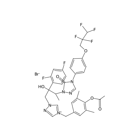 CC(=O)Oc1c(C)cc(C[n+]2cnn(CC(O)(c3ccc(F)cc3F)C(C)n3ncn(-c4ccc(OCC(F)(F)C(F)F)cc4)c3=O)c2)cc1C.[Br-]